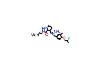 CNCCNC(=O)C1=NC=CC/C1=C\N(N)Cc1ccc(OCC(C)F)c(C)c1